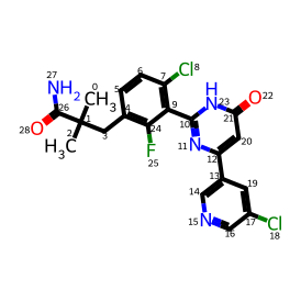 CC(C)(Cc1ccc(Cl)c(-c2nc(-c3cncc(Cl)c3)cc(=O)[nH]2)c1F)C(N)=O